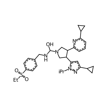 CCS(=O)(=O)c1ccc(CNC(O)N2CC(c3cccc(C4CC4)n3)C(c3cc(C4CC4)nn3C(C)C)C2)cc1